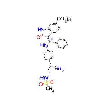 CCOC(=O)c1ccc2c(c1)NC(=O)/C2=C(\Nc1ccc(C(N)CCNS(C)(=O)=O)cc1)c1ccccc1